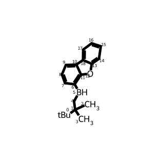 CC(C)(C)C(C)(C)CBc1cccc2c1oc1ccccc12